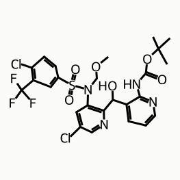 COCN(c1cc(Cl)cnc1C(O)c1cccnc1NC(=O)OC(C)(C)C)S(=O)(=O)c1ccc(Cl)c(C(F)(F)F)c1